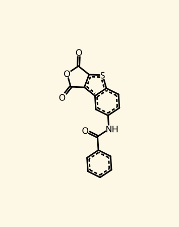 O=C(Nc1ccc2sc3c(c2c1)C(=O)OC3=O)c1ccccc1